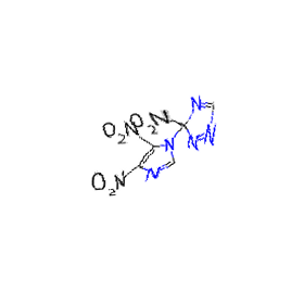 O=[N+]([O-])c1ncn(C2([N+](=O)[O-])N=CN=N2)c1[N+](=O)[O-]